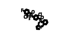 O=C(Nc1ccc(C(=O)N2Cc3cccn3Cc3ccccc32)c(Cl)c1)c1ccc(F)cc1C(F)(F)F